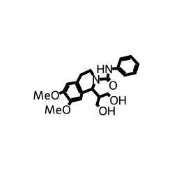 COc1cc2c(cc1OC)C(C(CO)CO)N(C(=O)Nc1ccccc1)CC2